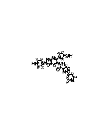 Cc1cc(-c2nc(C(=O)Nc3cc4oc(N5CCNCC5)nc4nc3N3CC[C@@H](O)C3)co2)ccn1